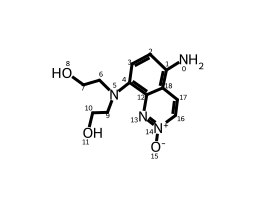 Nc1ccc(N(CCO)CCO)c2n[n+]([O-])ccc12